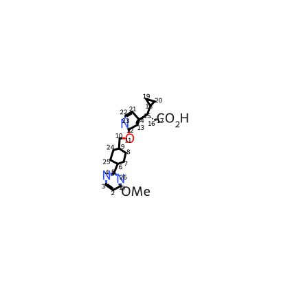 COc1ccnc(C2CCC(COc3cc([C@@H](CC(=O)O)C4CC4)ccn3)CC2)n1